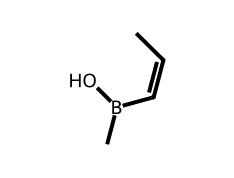 C/C=C\B(C)O